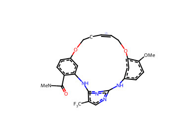 CNC(=O)c1ccc2cc1Nc1nc(ncc1C(F)(F)F)Nc1ccc(OC)c(c1)OC/C=C\CCO2